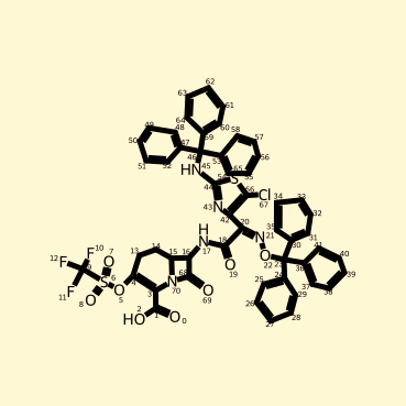 O=C(O)C1=C(OS(=O)(=O)C(F)(F)F)CCC2C(NC(=O)/C(=N\OC(c3ccccc3)(c3ccccc3)c3ccccc3)c3nc(NC(c4ccccc4)(c4ccccc4)c4ccccc4)sc3Cl)C(=O)N12